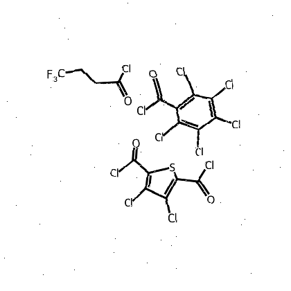 O=C(Cl)CCC(F)(F)F.O=C(Cl)c1c(Cl)c(Cl)c(Cl)c(Cl)c1Cl.O=C(Cl)c1sc(C(=O)Cl)c(Cl)c1Cl